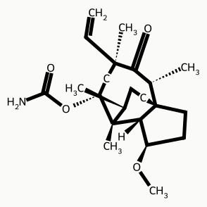 C=C[C@]1(C)C[C@@H](OC(N)=O)[C@]2(C)[C@H](C)CC[C@]3(CC[C@@H](OC)[C@@H]32)[C@@H](C)C1=O